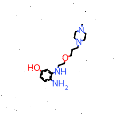 CN1CCN(CCCOCCNc2cc(O)ccc2N)CC1